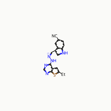 CCc1cc2c(N/N=C\c3c[nH]c4ccc(C#N)cc34)ncnc2s1